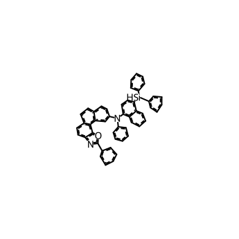 c1ccc(-c2nc3ccc4ccc5ccc(N(c6ccccc6)c6ccc([SiH](c7ccccc7)c7ccccc7)c7ccccc67)cc5c4c3o2)cc1